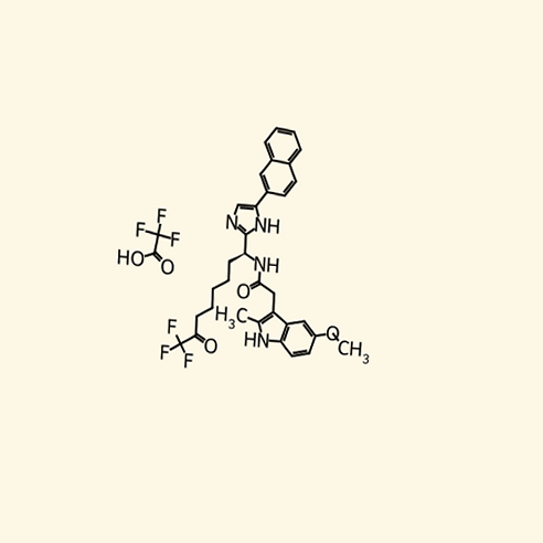 COc1ccc2[nH]c(C)c(CC(=O)N[C@@H](CCCCCC(=O)C(F)(F)F)c3ncc(-c4ccc5ccccc5c4)[nH]3)c2c1.O=C(O)C(F)(F)F